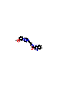 COc1cccc(N2CCN(CCCCNC(=O)c3cnc4ccccc4c3)CC2)c1